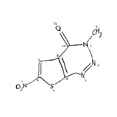 Cn1nnc2sc([N+](=O)[O-])cc2c1=O